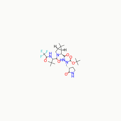 CC(C)(C)OC(=O)N(C[C@@H]1CCNC1=O)NC(=O)[C@@H]1[C@@H]2[C@H](CN1C(=O)C(NC(=O)C(F)(F)F)C(C)(C)C)C2(C)C